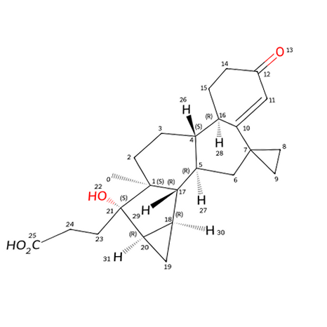 C[C@]12CC[C@H]3[C@@H](CC4(CC4)C4=CC(=O)CC[C@@H]43)[C@@H]1[C@H]1C[C@H]1[C@@]2(O)CCC(=O)O